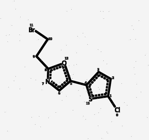 Clc1ccc(-c2cnc(CCBr)o2)s1